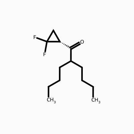 CCCCC(CCCC)C(=O)[C@H]1CC1(F)F